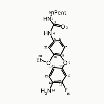 CCCCCNC(=O)Nc1ccc(Oc2ccc(N)c(F)c2)c(OCC)c1